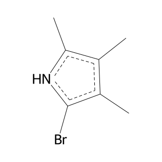 Cc1[nH]c(Br)c(C)c1C